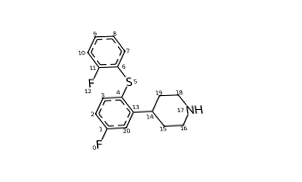 Fc1ccc(Sc2ccccc2F)c(C2CCNCC2)c1